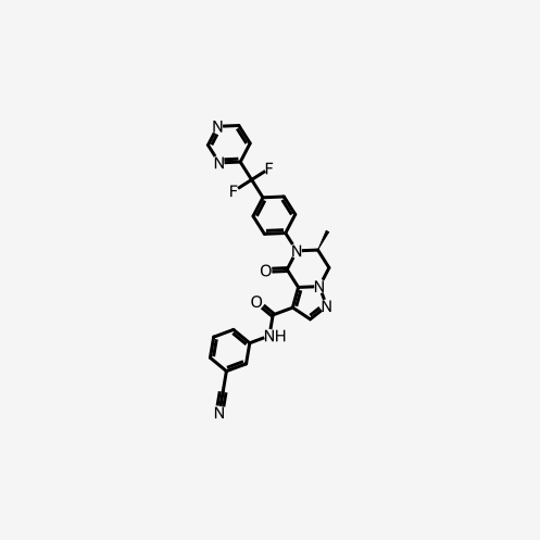 C[C@H]1Cn2ncc(C(=O)Nc3cccc(C#N)c3)c2C(=O)N1c1ccc(C(F)(F)c2ccncn2)cc1